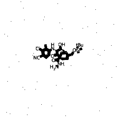 Cc1c(N[C@@H](C(=O)C2(C(=O)NN)C=CC(CO[Si](C)(C)C(C)(C)C)=CC2)[C@H](C)O)ccc(C#N)c1Cl